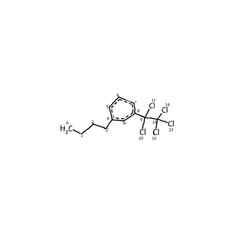 CCC[CH]c1cccc(C(Cl)(Cl)C(Cl)(Cl)Cl)c1